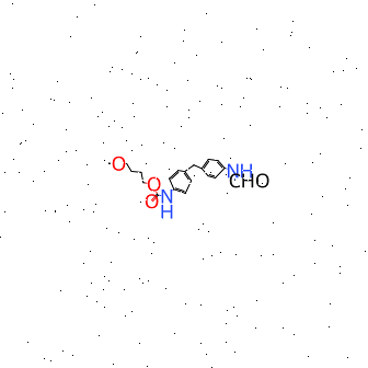 [O]CCCCOC(=O)Nc1ccc(Cc2ccc(N[C]=O)cc2)cc1